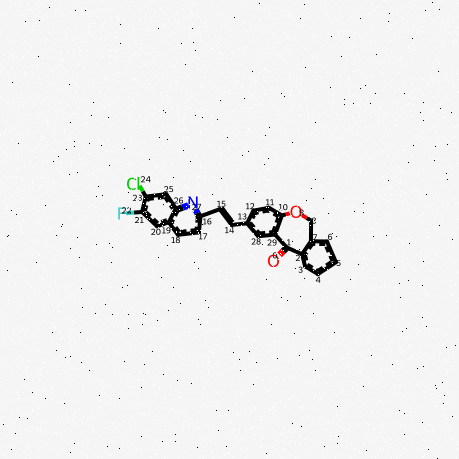 O=C1c2ccccc2COc2ccc(C=Cc3ccc4cc(F)c(Cl)cc4n3)cc21